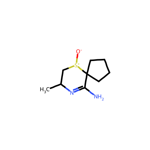 CC1C[S+]([O-])C2(CCCC2)C(N)=N1